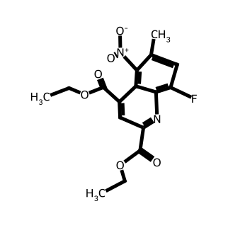 CCOC(=O)c1cc(C(=O)OCC)c2c([N+](=O)[O-])c(C)cc(F)c2n1